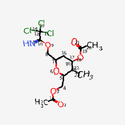 CC(=O)OCC1OC(COC(=N)C(Cl)(Cl)Cl)C[C@@H](OC(C)=O)[C@H]1C